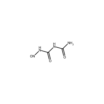 NC(=O)NC(=O)NN=O